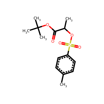 Cc1ccc(S(=O)(=O)OC(C)C(=O)OC(C)(C)C)cc1